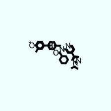 COc1ccc(C23CCC(CN(C(=O)C4CCCCC4)c4cc(-c5cnn(C(C)C)c5)ccn4)(CC2)CC3)cc1C